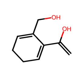 C=C(O)C1=CCCC=C1CO